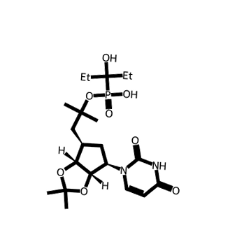 CCC(O)(CC)P(=O)(O)OC(C)(C)C[C@H]1C[C@@H](n2ccc(=O)[nH]c2=O)[C@@H]2OC(C)(C)O[C@H]12